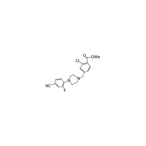 COC(=O)c1ccc(CN2CCN(c3ccc(C#N)cc3F)CC2)cc1Cl